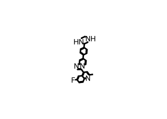 Cc1cc(-c2cnc3cc(-c4ccc(C5CNCCN5)cc4)ccn23)c2cc(F)ccc2n1